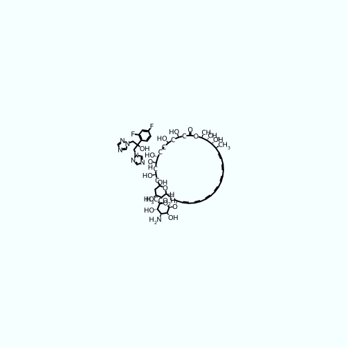 C[C@@H]1[C@H](O)[C@@H](C)\C=C/C=C\C=C/C=C\C=C/C=C\C=C/[C@H](O[C@@H]2O[C@H](C)[C@@H](O)[C@H](N)[C@@H]2O)C[C@@H]2O[C@](O)(C[C@@H](O)C[C@@H](O)[C@H](O)CC[C@@H](O)C[C@@H](O)CC(=O)O[C@H]1C)C[C@H](O)[C@H]2C(=O)O.OC(Cn1cncn1)(Cn1cncn1)c1ccc(F)cc1F